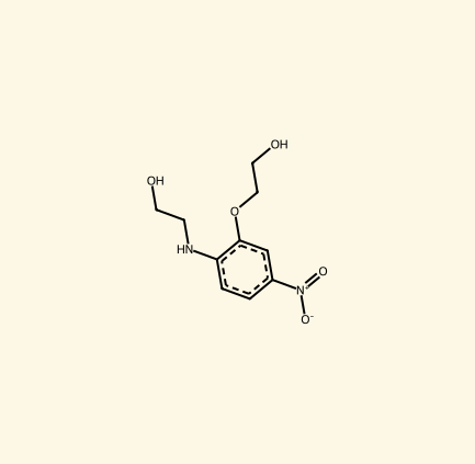 O=[N+]([O-])c1ccc(NCCO)c(OCCO)c1